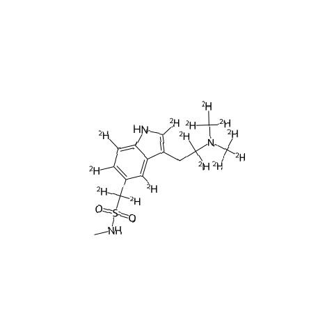 [2H]c1[nH]c2c([2H])c([2H])c(C([2H])([2H])S(=O)(=O)NC)c([2H])c2c1CC([2H])([2H])N(C([2H])([2H])[2H])C([2H])([2H])[2H]